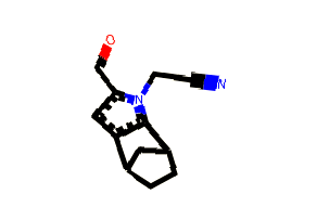 N#CCn1c(C=O)cc2c1C1CCC2C1